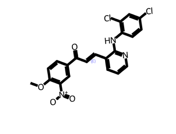 COc1ccc(C(=O)/C=C/c2cccnc2Nc2ccc(Cl)cc2Cl)cc1[N+](=O)[O-]